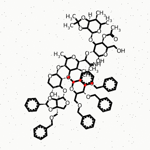 CC(=N)C(O[C@@H]1C(O[C@@H]2OC(C)[C@H](C)[C@@H]3OC(C)(C)OC23)[C@@H](OC(C)=O)C(CO)O[C@@H]1O)[C@@H]1OC(C)[C@H](O[C@@H]2OC[C@@H](C)C(O[C@@H]3OC[C@@]4(COCc5ccccc5)O[C@@H](c5ccccc5)OC34)[C@H]2OCc2ccccc2)C(O[C@@H]2OC(COCc3ccccc3)[C@@H](OCc3ccccc3)C(OCc3ccccc3)[C@H]2C)[C@@H]1C